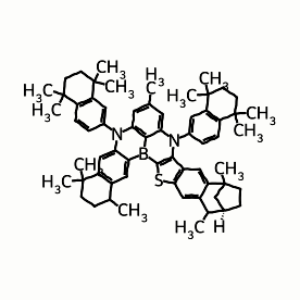 Cc1cc2c3c(c1)N(c1ccc4c(c1)C(C)(C)CCC4(C)C)c1c(sc4cc5c(cc14)C1(C)CC[C@H](C1)C5C)B3c1cc3c(cc1N2c1ccc2c(c1)C(C)(C)CCC2(C)C)C(C)(C)CCC3C